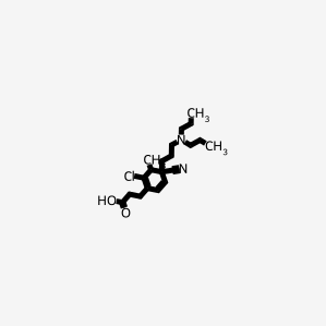 CCCN(CCC)CCCC1(C#N)C=CC(CCC(=O)O)=C(Cl)C1C